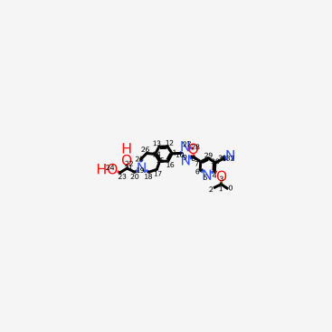 CC(C)Oc1ncc(-c2nc(-c3ccc4c(c3)CCN(C[C@@H](O)CO)CC4)no2)cc1C#N